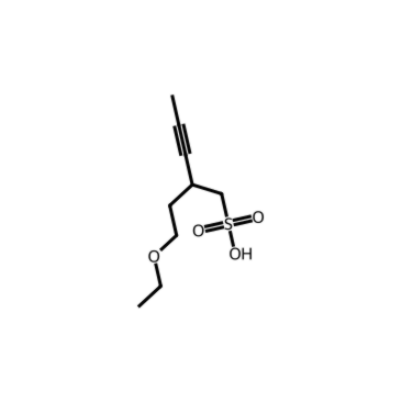 CC#CC(CCOCC)CS(=O)(=O)O